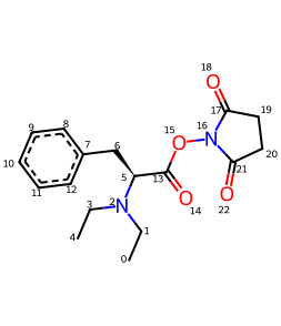 CCN(CC)[C@@H](Cc1ccccc1)C(=O)ON1C(=O)CCC1=O